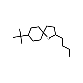 CCCCC1CCC2(CCC(C(C)(C)C)CC2)O1